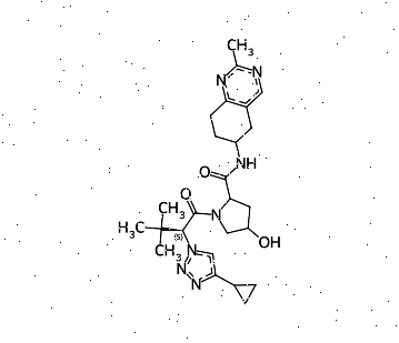 Cc1ncc2c(n1)CCC(NC(=O)C1CC(O)CN1C(=O)[C@@H](n1cc(C3CC3)nn1)C(C)(C)C)C2